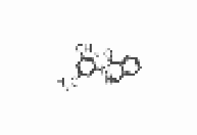 Cc1cc(C)cc(-n2ncc3ccccc3c2=O)c1